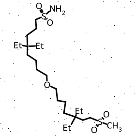 CCC(CC)(CCCCOCCCCC(CC)(CC)CCS(C)(=O)=O)CCCS(N)(=O)=O